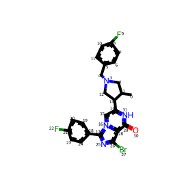 CC1CN(Cc2ccc(F)cc2)CC1c1cn2c(-c3ccc(F)cc3)nc(Br)c2c(=O)[nH]1